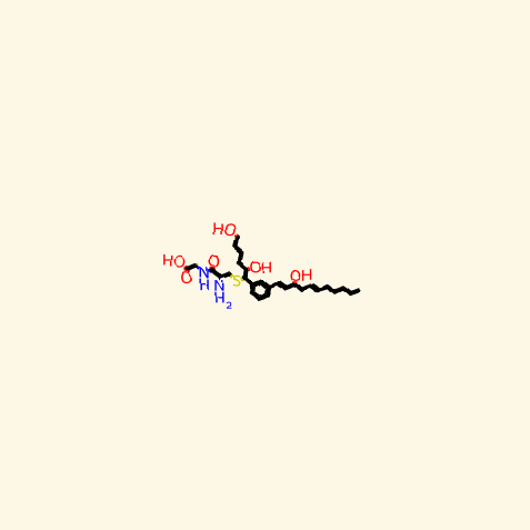 CCCCC/C=C/CC(O)/C=C/c1cccc(C(SC[C@H](N)C(=O)NCC(=O)O)C(O)CCCCO)c1